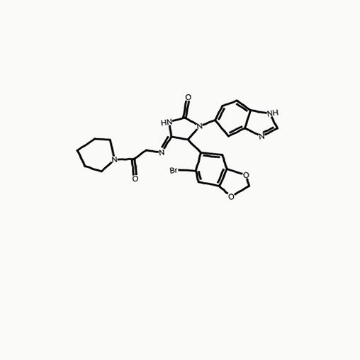 O=C(C/N=C1\NC(=O)N(c2ccc3[nH]cnc3c2)C1c1cc2c(cc1Br)OCO2)N1CCCCC1